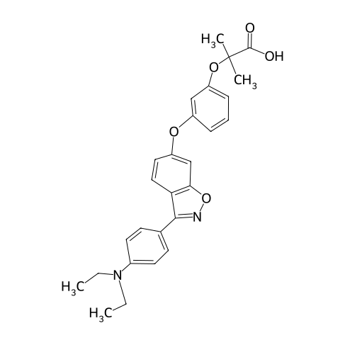 CCN(CC)c1ccc(-c2noc3cc(Oc4cccc(OC(C)(C)C(=O)O)c4)ccc23)cc1